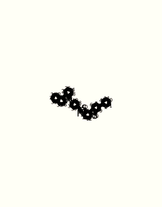 c1ccc(-c2ccc3c(c2)sc2ccc4nc(-c5ccc(-n6c7ccccc7c7c8ccccc8ccc76)cc5)sc4c23)cc1